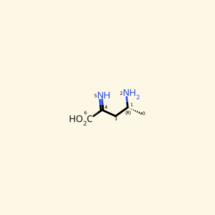 C[C@@H](N)CC(=N)C(=O)O